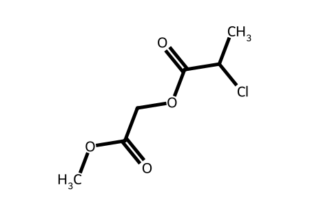 COC(=O)COC(=O)C(C)Cl